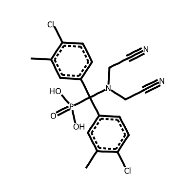 Cc1cc(C(c2ccc(Cl)c(C)c2)(N(CC#N)CC#N)P(=O)(O)O)ccc1Cl